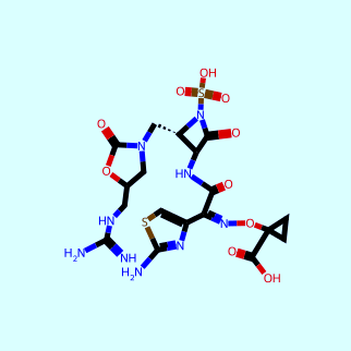 N=C(N)NCC1CN(C[C@H]2C(NC(=O)/C(=N\OC3(C(=O)O)CC3)c3csc(N)n3)C(=O)N2S(=O)(=O)O)C(=O)O1